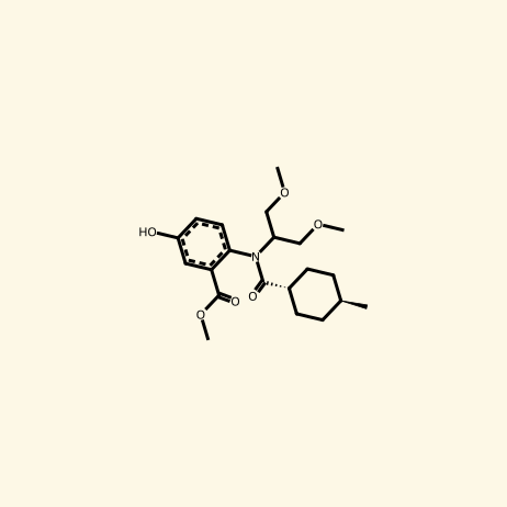 COCC(COC)N(c1ccc(O)cc1C(=O)OC)C(=O)[C@H]1CC[C@H](C)CC1